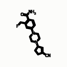 N#CC1=CC(N2CCN(c3ccc(C(N)=O)c(CF)c3)CC2)CC1